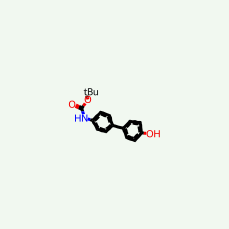 CC(C)(C)OC(=O)Nc1ccc(-c2ccc(O)cc2)cc1